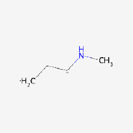 [CH2]C[C]NC